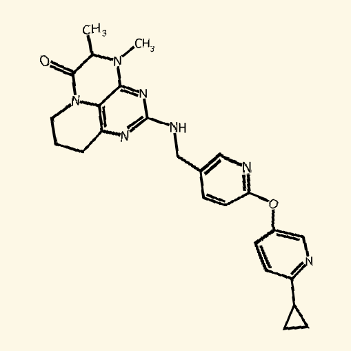 CC1C(=O)N2CCCc3nc(NCc4ccc(Oc5ccc(C6CC6)nc5)nc4)nc(c32)N1C